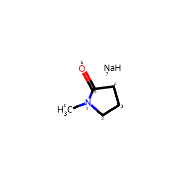 CN1CCCC1=O.[NaH]